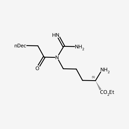 CCCCCCCCCCCC(=O)N(CCC[C@H](N)C(=O)OCC)C(=N)N